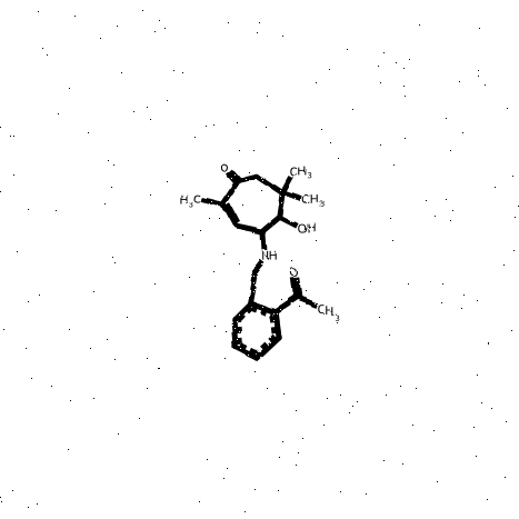 CC(=O)c1ccccc1CNC1C=C(C)C(=O)CC(C)(C)C1O